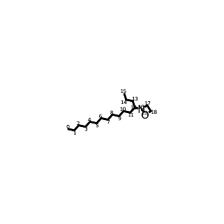 CCCCCCCCCCCCC(CCC)N1CCO1